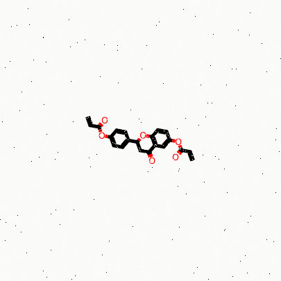 C=CC(=O)Oc1ccc(C2CC(=O)c3cc(OC(=O)C=C)ccc3O2)cc1